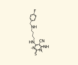 Cn1c(NCCCCNCc2ccc(F)cc2)c(C#N)c(=N)n(C)c1=S